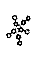 c1ccc(-c2ccc(N3c4cc(C5CCCCC5)ccc4B4c5ccc(C6CCCCC6)cc5N(c5ccc(-c6ccccc6)cc5)c5cc(-c6ccncn6)cc3c54)cc2)cc1